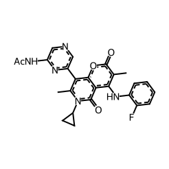 CC(=O)Nc1cncc(-c2c(C)n(C3CC3)c(=O)c3c(Nc4ccccc4F)c(C)c(=O)oc23)n1